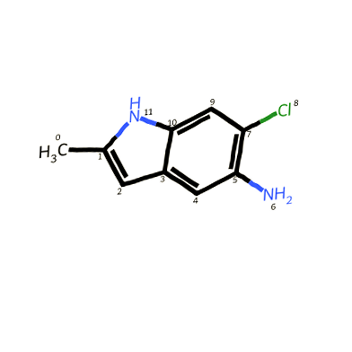 Cc1cc2cc(N)c(Cl)cc2[nH]1